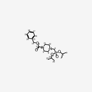 CC(C)OP(=O)(CN1CCN(C(=O)OCc2ccccc2)CC1)OC(C)C